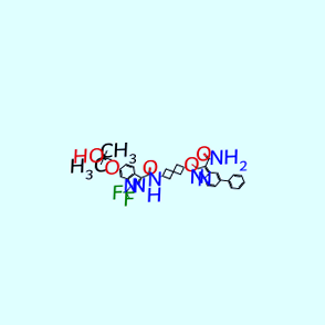 CC(C)(O)COc1ccc2c(C(=O)NC3CC4(C3)CC(Oc3nn5ccc(-c6ccccc6)cc5c3C(N)=O)C4)nn(C(F)F)c2c1